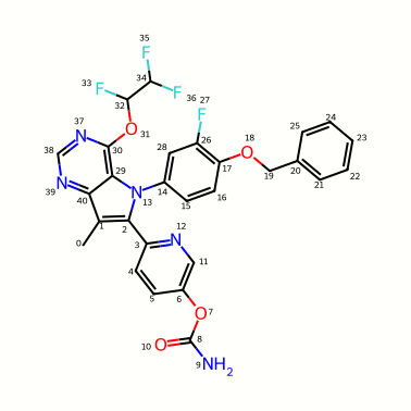 Cc1c(-c2ccc(OC(N)=O)cn2)n(-c2ccc(OCc3ccccc3)c(F)c2)c2c(OC(F)C(F)F)ncnc12